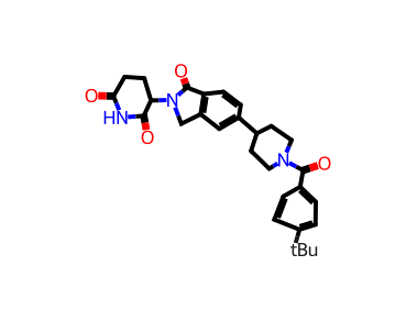 CC(C)(C)c1ccc(C(=O)N2CCC(c3ccc4c(c3)CN(C3CCC(=O)NC3=O)C4=O)CC2)cc1